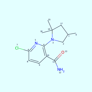 CC1CN(c2nc(Cl)ccc2C(N)=O)C(C)(C)C1